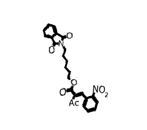 CC(=O)C(=Cc1ccccc1[N+](=O)[O-])C(=O)OCCCCCCN1C(=O)c2ccccc2C1=O